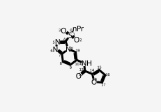 CCCS(=O)(=O)c1nnc2ccc(NC(=O)c3ccco3)cn12